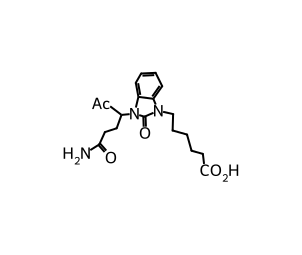 CC(=O)C(CCC(N)=O)n1c(=O)n(CCCCCC(=O)O)c2ccccc21